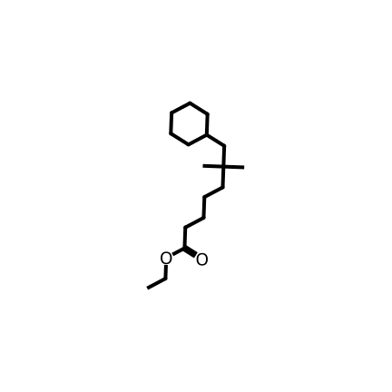 CCOC(=O)CCCCC(C)(C)CC1CCCCC1